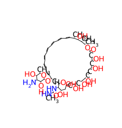 CNC(=O)N[C@H]1[C@@H]2C[C@@H](OC3OC(C)C(O)C(N)C3O)/C=C/C=C/C=C/C=C/C=C/C=C/C=C/[C@H](C)[C@@H](O)[C@@H](C)[C@H](C)OC(=O)C[C@H](O)C[C@H](O)CC[C@@H](O)[C@H](O)C[C@H](O)C[C@](O)(C[C@@H]1O)O2